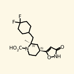 C[C@]1(CC2CCC(F)(F)CC2)C[C@@H](c2cc(=O)[nH]o2)CCN1C(=O)O